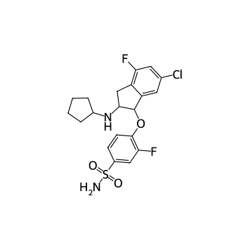 NS(=O)(=O)c1ccc(OC2c3cc(Cl)cc(F)c3CC2NC2CCCC2)c(F)c1